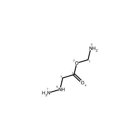 NCOC(=O)CNN